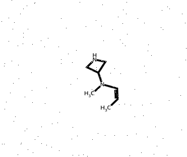 C/C=C\N(C)C1CNC1